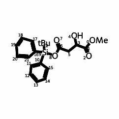 COC(=O)C(O)CC(=O)O[Si](c1ccccc1)(c1ccccc1)C(C)(C)C